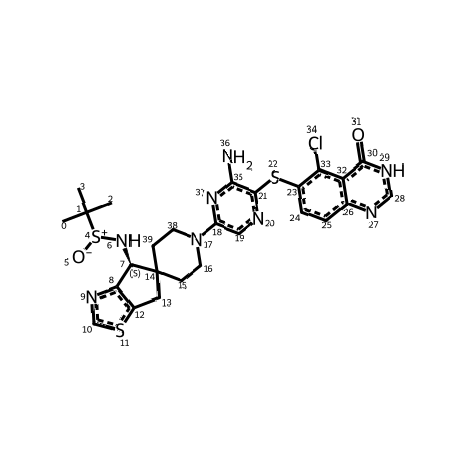 CC(C)(C)[S+]([O-])N[C@@H]1c2ncsc2CC12CCN(c1cnc(Sc3ccc4nc[nH]c(=O)c4c3Cl)c(N)n1)CC2